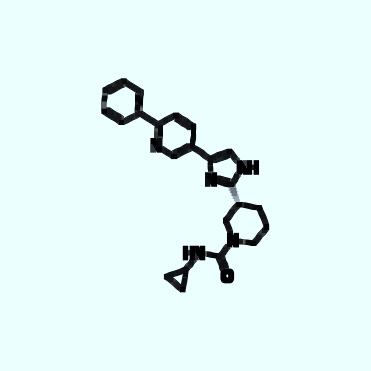 O=C(NC1CC1)N1CCC[C@@H](c2nc(-c3ccc(-c4ccccc4)nc3)c[nH]2)C1